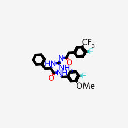 COc1cc(CNC(=O)C(CC2CCCCC2)NC(N)=NC(=O)Cc2ccc(F)c(C(F)(F)F)c2)ccc1F